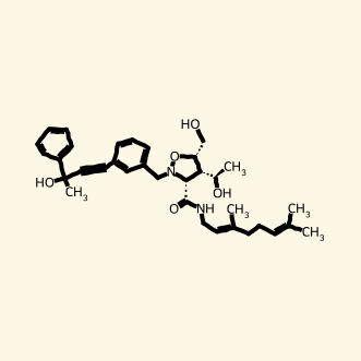 CC(C)=CCC/C(C)=C/CNC(=O)[C@H]1[C@@H]([C@@H](C)O)[C@@H](CO)ON1Cc1cccc(C#CC(C)(O)c2ccccc2)c1